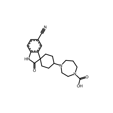 N#Cc1ccc2c(c1)C1(CCC(N3CCCN(C(=O)O)CC3)CC1)C(=O)N2